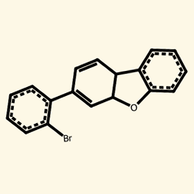 Brc1ccccc1C1=CC2Oc3ccccc3C2C=C1